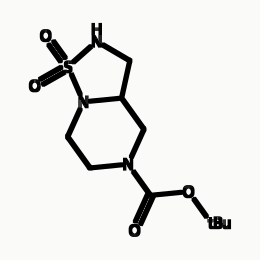 CC(C)(C)OC(=O)N1CCN2C(CNS2(=O)=O)C1